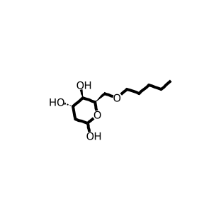 CCCCCOC[C@H]1OC(O)C[C@H](O)[C@H]1O